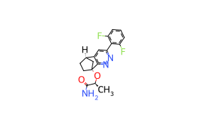 C[C@H](O[C@]12CC[C@H](C1)c1cc(-c3c(F)cccc3F)nnc12)C(N)=O